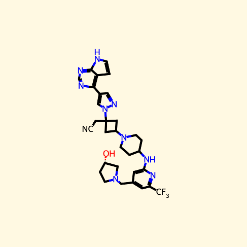 N#CCC1(n2cc(-c3ncnc4[nH]ccc34)cn2)CC(N2CCC(Nc3cc(CN4CC[C@H](O)C4)cc(C(F)(F)F)n3)CC2)C1